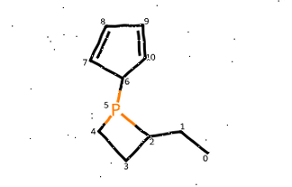 CCC1CCP1C1C=CC=C1